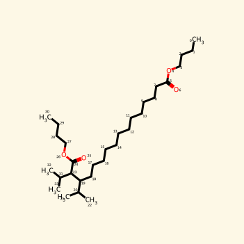 CCCCOC(=O)CCCCCCCCCCCCC(C(C)C)C(C(=O)OCCCC)C(C)C